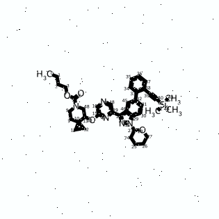 CCCCOC(=O)N1CCC2(CC2)C(Oc2cncc(-c3nn(C4CCCCO4)c4ccc(-c5ccccc5C#C[Si](C)(C)C)cc34)n2)C1